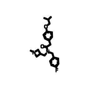 CC(C)COc1ccc(CC(=O)N(Cc2ccc(F)cc2)CC2CN(C)C2)cc1